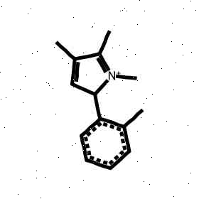 CC1=CC(c2ccccc2C)[N+](C)=C1C